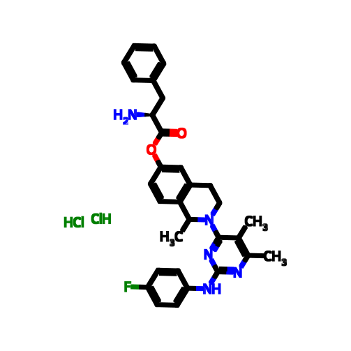 Cc1nc(Nc2ccc(F)cc2)nc(N2CCc3cc(OC(=O)[C@@H](N)Cc4ccccc4)ccc3C2C)c1C.Cl.Cl